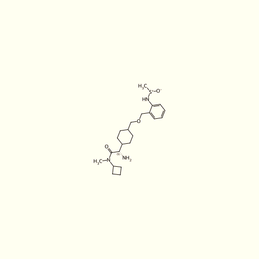 CN(C(=O)[C@@H](N)C1CCC(COCc2ccccc2N[S+](C)[O-])CC1)C1CCC1